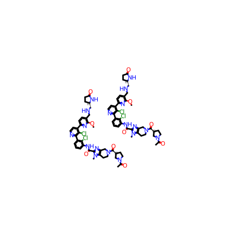 COc1nc(-c2ccnc(-c3cccc(NC(=O)c4nc5c(n4C)CCN(C(=O)[C@H]4CCN(C(C)=O)C4)C5)c3Cl)c2Cl)ccc1CNC[C@@H]1CCC(=O)N1.COc1nc(-c2ccnc(-c3cccc(NC(=O)c4nc5c(n4C)CCN(C(=O)[C@H]4CCN(C(C)=O)C4)C5)c3Cl)c2Cl)ccc1CNC[C@@H]1CCC(=O)N1